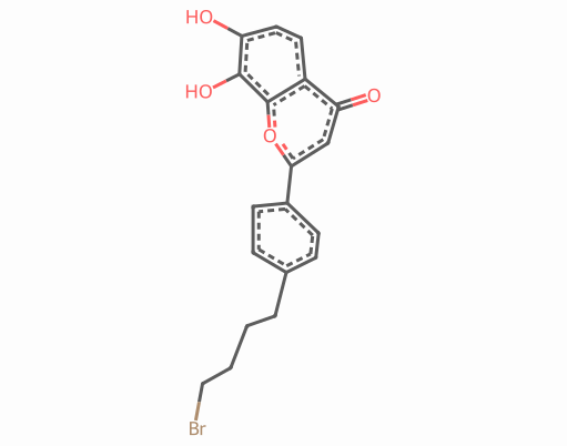 O=c1cc(-c2ccc(CCCCBr)cc2)oc2c(O)c(O)ccc12